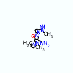 CCn1cnnc1-c1cccc(N2Cc3c(cc(N4C(C)CC[C@H]4C)nc3CN)C2=O)n1